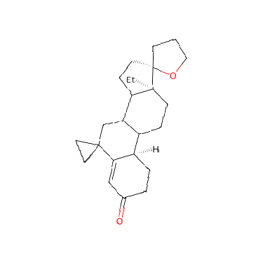 CC[C@]12CCC3C(CC4(CC4)C4=CC(=O)CC[C@@H]43)C1CC[C@@]21CCCO1